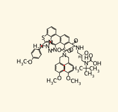 COc1ccc(CN(Cc2ccc(OC)cc2)S(=O)(=O)c2c(S(=O)(=O)NC[C@H](O)CN(C(=O)O)C(C)(C)C)ccc(-c3cccc4sc(N)nc34)c2-c2nnn(Cc3ccc(OC)cc3)n2)cc1